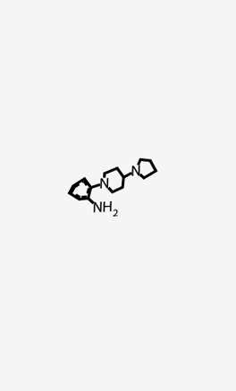 Nc1ccccc1N1CCC(N2CCCC2)CC1